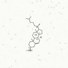 CN[C@H]1CCC2(C)C(=CC[C@H]3C2CCC2(C)C([C@H](C)CCCC(C)C)CC[C@@H]32)C1